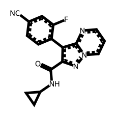 N#Cc1ccc(-c2c(C(=O)NC3CC3)nn3cccnc23)c(F)c1